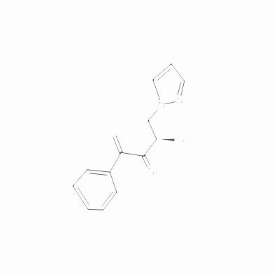 N=C(C(=O)c1ccccc1)[C@@H](Cn1cccn1)C(=O)O